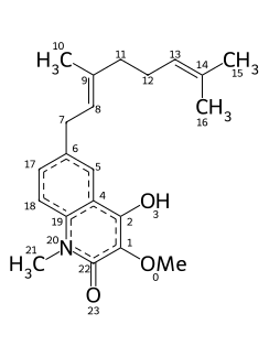 COc1c(O)c2cc(C/C=C(\C)CCC=C(C)C)ccc2n(C)c1=O